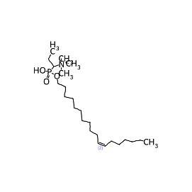 CCCCCC/C=C\CCCCCCCCCCOP(=O)(O)C(CC)[N+](C)(C)C